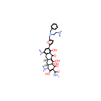 CN(C)CCN(Cc1ccccc1)Cc1ccc(-c2cc(N(C)C)c3c(c2O)C(=O)C2=C(O)[C@]4(O)C(=O)C(C(N)=O)=C(O)[C@@H](N(C)C)[C@@H]4C[C@@H]2C3)o1